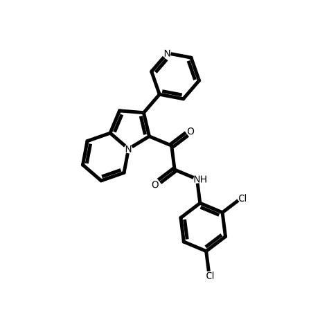 O=C(Nc1ccc(Cl)cc1Cl)C(=O)c1c(-c2cccnc2)cc2ccccn12